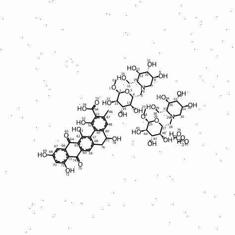 CO[C@H]1O[C@H](CN2C[C@H](O)[C@@H](O)[C@H](O)[C@H]2CO)[C@@H](O)[C@H](O)[C@H]1O.CO[C@H]1O[C@H](CN2C[C@H](O)[C@@H](O)[C@H](O)[C@H]2CO)[C@@H](O)[C@H](O)[C@H]1O.Cc1cc2c(c(O)c1C(=O)O)-c1c(cc3c(c1O)C(=O)c1cc(O)cc(O)c1C3=O)CC2O.O.O.O